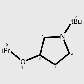 CC(C)OC1CCN(C(C)(C)C)C1